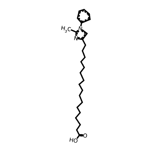 Cc1nc(CCCCCCCCCCCCCCCCC(=O)O)cn1-c1ccccc1